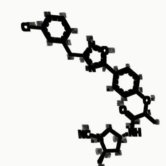 CC(Oc1ccc(-c2nc(Cc3cccc(Cl)c3)no2)cc1)C(=O)N[C@@H]1C[C@@H](C)N(C#N)C1